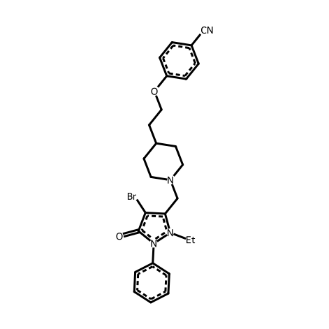 CCn1c(CN2CCC(CCOc3ccc(C#N)cc3)CC2)c(Br)c(=O)n1-c1ccccc1